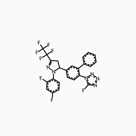 Fc1ccc(N2N=C(C(F)(F)C(F)(F)F)CC2c2ccc(-n3nnnc3F)c(-c3ccccc3)c2)c(F)c1